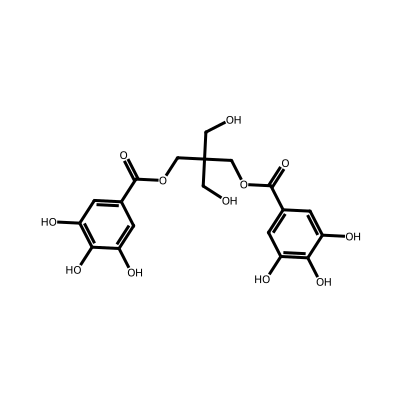 O=C(OCC(CO)(CO)COC(=O)c1cc(O)c(O)c(O)c1)c1cc(O)c(O)c(O)c1